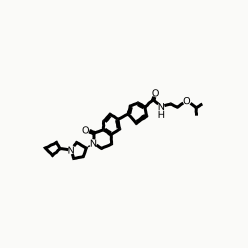 CC(C)OCCNC(=O)c1ccc(-c2ccc3c(c2)CCN([C@@H]2CCN(C4CCC4)C2)C3=O)cc1